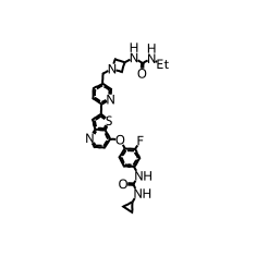 CCNC(=O)NC1CN(Cc2ccc(-c3cc4nccc(Oc5ccc(NC(=O)NC6CC6)cc5F)c4s3)nc2)C1